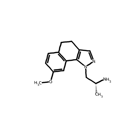 COc1ccc2c(c1)-c1c(cnn1C[C@@H](C)N)CC2